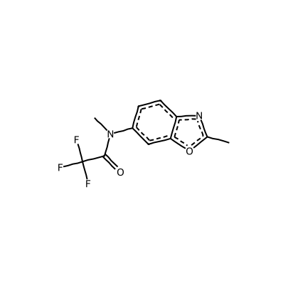 Cc1nc2ccc(N(C)C(=O)C(F)(F)F)cc2o1